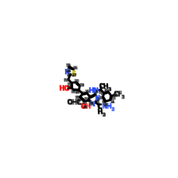 Cc1nc(NC(C)c2cc(N)cc(C(F)(F)F)c2)c2cc(-c3ccc(Cc4nccs4)c(O)c3)ccc2n1.O=CO